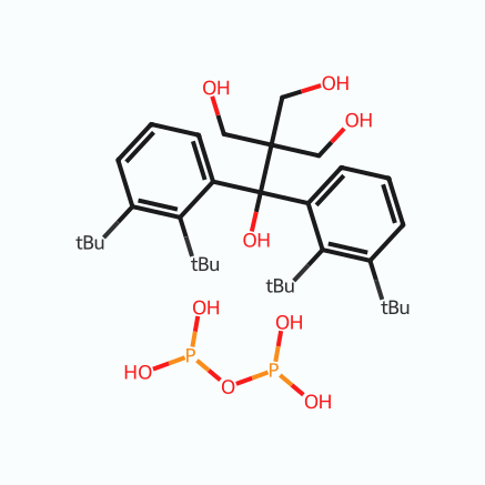 CC(C)(C)c1cccc(C(O)(c2cccc(C(C)(C)C)c2C(C)(C)C)C(CO)(CO)CO)c1C(C)(C)C.OP(O)OP(O)O